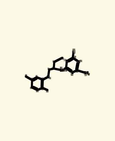 CCC(COc1cc(C)ccc1C)Nc1nc(N)nc(Cl)n1